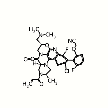 C=CC(=O)N1C[C@@H]2C(=C=O)N3C[C@@H](CN(C)C)Oc4nc5c(F)c(-c6c(F)cccc6OCC#N)c(Cl)cc5c(c43)N2C[C@H]1C